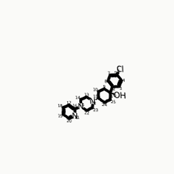 O[C@]1(c2ccc(Cl)cc2)CC[C@@H](N2CCN(c3ccccn3)CC2)CC1